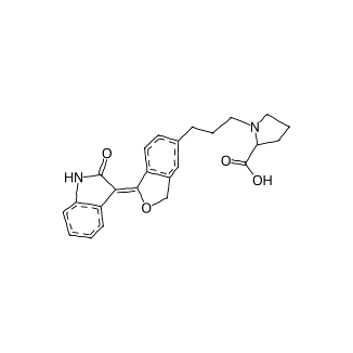 O=C1Nc2ccccc2C1=C1OCc2cc(CCCN3CCCC3C(=O)O)ccc21